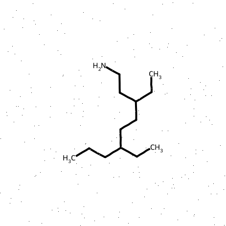 CCCC(CC)CCC(CC)CCN